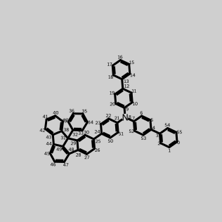 c1ccc(-c2ccc(N(c3ccc(-c4ccccc4)cc3)c3ccc(-c4ccc5c(c4)C4(c6ccccc6)c6ccccc6-c6cccc-5c64)cc3)cc2)cc1